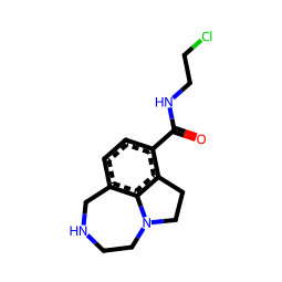 O=C(NCCCl)c1ccc2c3c1CCN3CCNC2